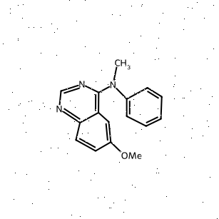 COc1ccc2ncnc(N(C)c3ccccc3)c2c1